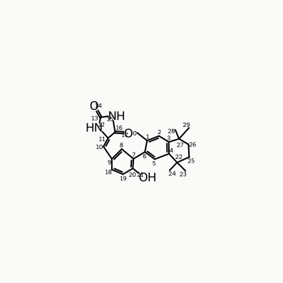 Cc1cc2c(cc1-c1cc(C=C3NC(=O)NC3=O)ccc1O)C(C)(C)CCC2(C)C